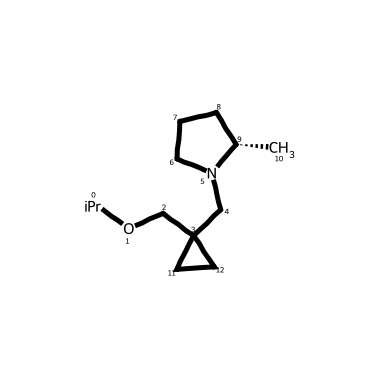 CC(C)OCC1(CN2CCC[C@@H]2C)CC1